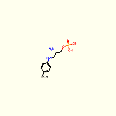 CCCCCCCCc1ccc(NC[C@H](N)COP(=O)(O)O)cc1